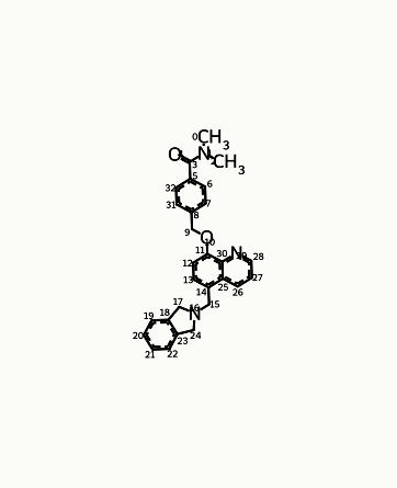 CN(C)C(=O)c1ccc(COc2ccc(CN3Cc4ccccc4C3)c3cccnc23)cc1